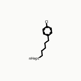 CCCCCCCCCCCCc1ccc(Cl)cc1